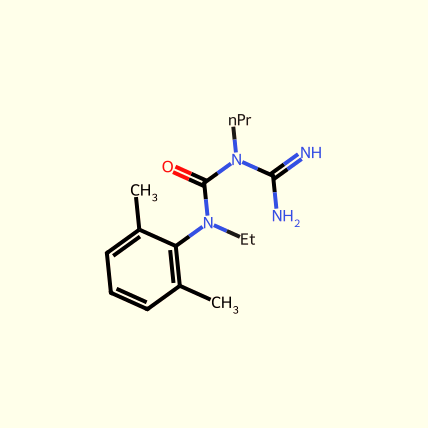 CCCN(C(=N)N)C(=O)N(CC)c1c(C)cccc1C